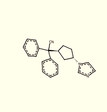 N#CC(c1ccccc1)(c1ccccc1)[C@H]1CC[C@H](n2ccnc2)C1